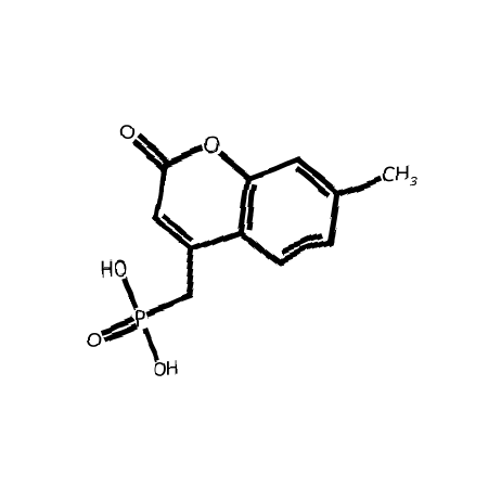 Cc1ccc2c(CP(=O)(O)O)cc(=O)oc2c1